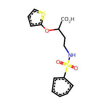 O=C(O)C(CCNS(=O)(=O)c1ccccc1)Oc1cccs1